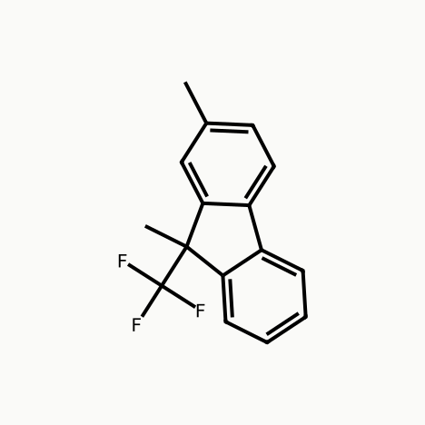 Cc1ccc2c(c1)C(C)(C(F)(F)F)c1ccccc1-2